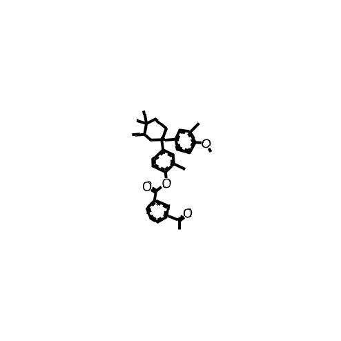 COc1ccc(C2(c3ccc(OC(=O)c4cccc(C(C)=O)c4)c(C)c3)CCC(C)(C)C(C)C2)cc1C